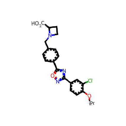 CC(C)Oc1ccc(-c2noc(-c3ccc(CN4CCC4C(=O)O)cc3)n2)cc1Cl